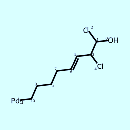 OC(Cl)C(Cl)C=CCCC[CH2][Pd]